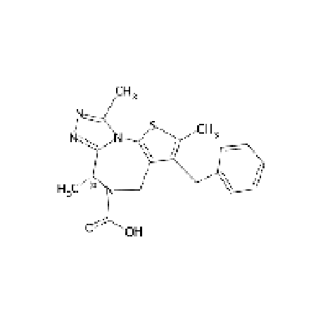 Cc1sc2c(c1Cc1ccccc1)CN(C(=O)O)[C@H](C)c1nnc(C)n1-2